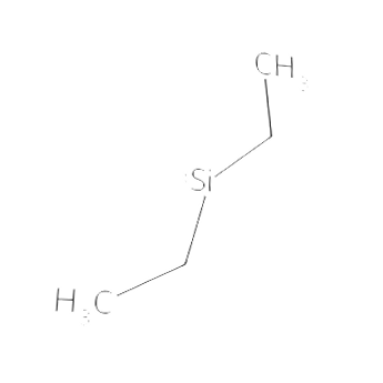 CC[Si]CC